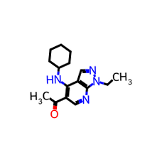 CCn1ncc2c(NC3CCCCC3)c(C(C)=O)cnc21